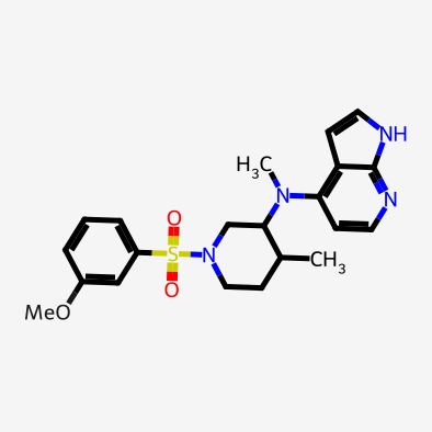 COc1cccc(S(=O)(=O)N2CCC(C)C(N(C)c3ccnc4[nH]ccc34)C2)c1